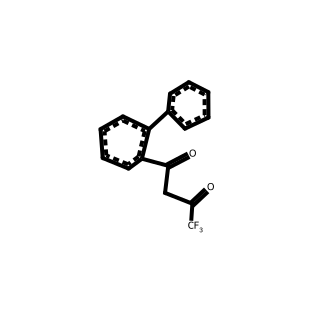 O=C(CC(=O)C(F)(F)F)c1ccccc1-c1ccccc1